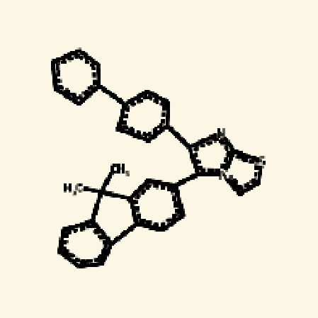 CC1(C)c2ccccc2-c2ccc(-c3c(-c4ccc(-c5ccccc5)cc4)nc4sccn34)cc21